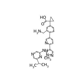 CC(C)c1cncc(Nc2c(-c3ccc(-c4ccc(C5(C(=O)O)CC5)cc4CN)cn3)cnn2C)n1